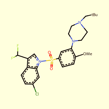 COc1ccc(S(=O)(=O)n2cc(C(F)F)c3ccc(Cl)cc32)cc1N1CCN(CC(C)(C)C)CC1